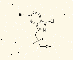 CC(C)(CO)Cn1nc(Cl)c2ccc(Br)cc21